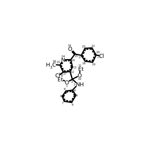 CCOC(Nc1ccccc1)(OCC)c1cc(C(=O)c2ccc(Cl)cc2)nc(C)c1Cl